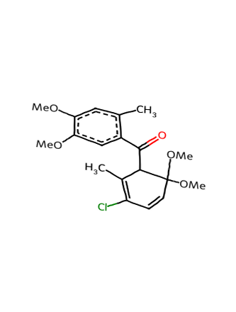 COc1cc(C)c(C(=O)C2C(C)=C(Cl)C=CC2(OC)OC)cc1OC